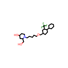 OCC1CC(O)CCN1CCCCCOCC1CCC(C2CCCCC2)C(C(F)(F)F)C1